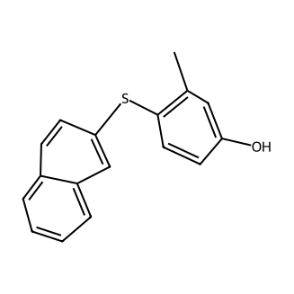 Cc1cc(O)ccc1Sc1ccc2ccccc2c1